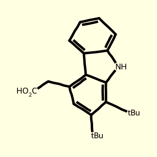 CC(C)(C)c1cc(CC(=O)O)c2c([nH]c3ccccc32)c1C(C)(C)C